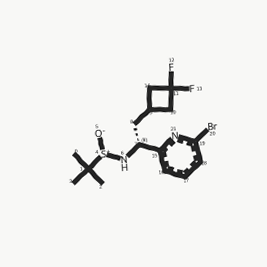 CC(C)(C)[S+]([O-])N[C@H](CC1CC(F)(F)C1)c1cccc(Br)n1